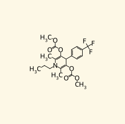 CCCN1C(C)=C(OC(=O)OC)C(c2ccc(C(F)(F)F)cc2)C(OC(=O)OC)=C1C